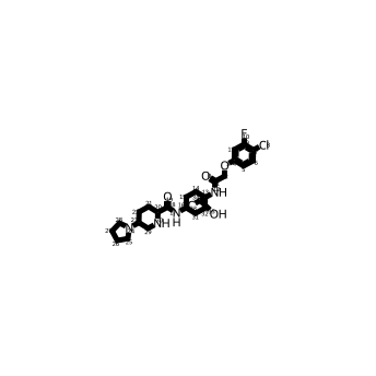 O=C(COc1ccc(Cl)c(F)c1)NC12CCC(NC(=O)C3CCC(N4CCCC4)CN3)(CC1)CC2O